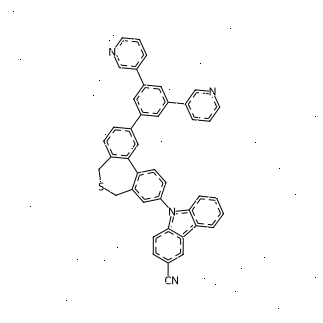 N#Cc1ccc2c(c1)c1ccccc1n2-c1ccc2c(c1)CSCc1ccc(-c3cc(-c4cccnc4)cc(-c4cccnc4)c3)cc1-2